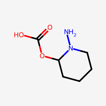 NN1CCCCC1OC(=O)O